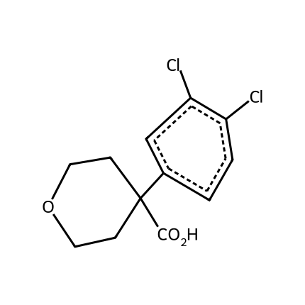 O=C(O)C1(c2ccc(Cl)c(Cl)c2)CCOCC1